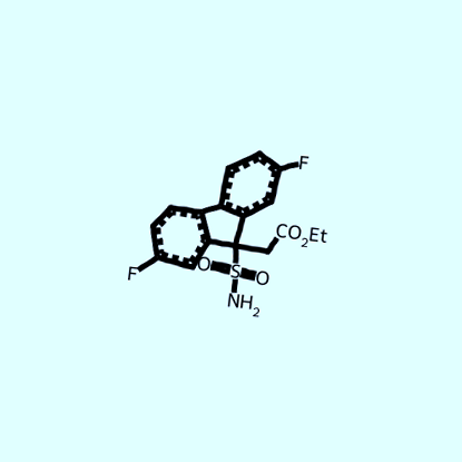 CCOC(=O)CC1(S(N)(=O)=O)c2cc(F)ccc2-c2ccc(F)cc21